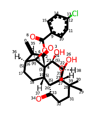 C=C1C(=O)[C@]23[C@H](OC(=O)c4ccc(Cl)cc4)[C@H]1CC[C@H]2[C@@]12CO[C@]3(O)[C@@H](O)[C@@H]1C(C)(C)CCC2=O